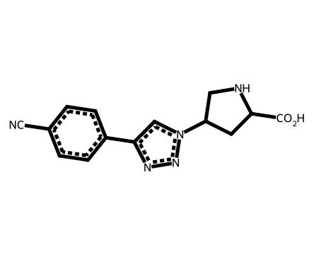 N#Cc1ccc(-c2cn(C3CNC(C(=O)O)C3)nn2)cc1